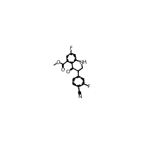 COC(=O)c1cc(F)cc2c1C(=O)C(c1ccc(C#N)c(F)c1)CN2